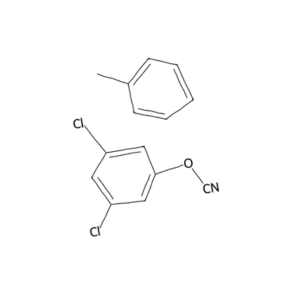 Cc1ccccc1.N#COc1cc(Cl)cc(Cl)c1